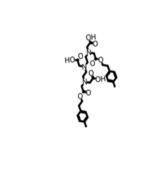 Cc1ccc(CCOC(=O)CN(CCN(CCN(CC(=O)O)CC(=O)OCCc2ccc(C)cc2)CC(=O)O)CC(=O)O)cc1